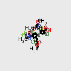 CCOC(=O)C(Cl)Cc1cc(-n2nc(C)n(C(F)F)c2=O)c(F)cc1Cl.COc1cc(OC)nc(Sc2cccc(Cl)c2C(=O)O)n1